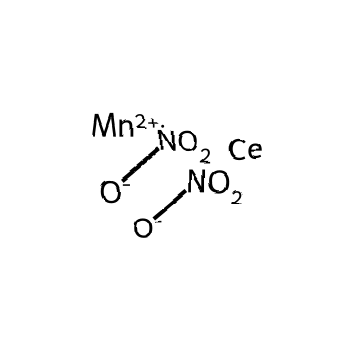 O=[N+]([O-])[O-].O=[N+]([O-])[O-].[Ce].[Mn+2]